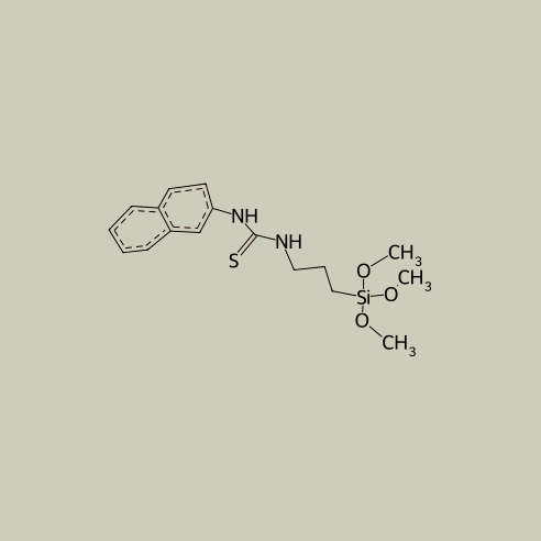 CO[Si](CCCNC(=S)Nc1ccc2ccccc2c1)(OC)OC